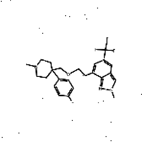 CN1CCC(COCCc2cc(C(F)(F)F)cc3cn(C)nc23)(c2ccc(F)cc2)CC1